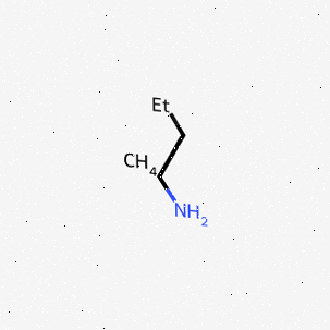 C.CCCCN